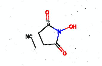 CC#N.O=C1CCC(=O)N1O